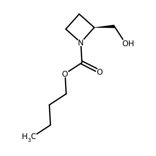 CCCCOC(=O)N1CC[C@H]1CO